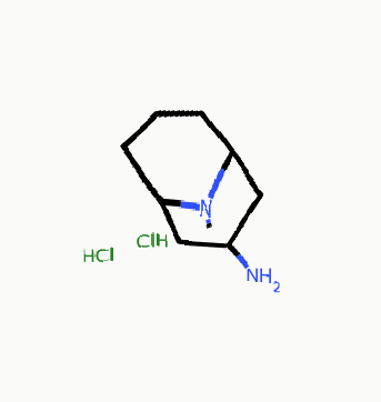 CN1C2CCCC1CC(N)C2.Cl.Cl